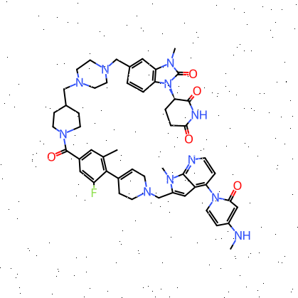 CNc1ccn(-c2ccnc3c2cc(CN2CC=C(c4c(C)cc(C(=O)N5CCC(CN6CCN(Cc7ccc8c(c7)n(C)c(=O)n8[C@@H]7CCC(=O)NC7=O)CC6)CC5)cc4F)CC2)n3C)c(=O)c1